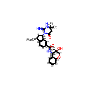 CCC1(CC)CC(=O)N([C@@H]2C[C@H](OC)c3ccc(C(=O)N[C@@H]4c5ccccc5OC[C@@]4(C)O)cc32)C(=N)N1